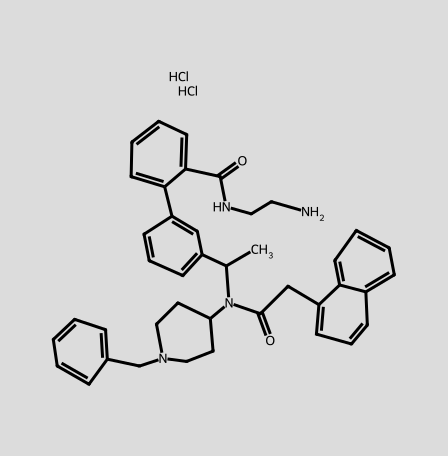 CC(c1cccc(-c2ccccc2C(=O)NCCN)c1)N(C(=O)Cc1cccc2ccccc12)C1CCN(Cc2ccccc2)CC1.Cl.Cl